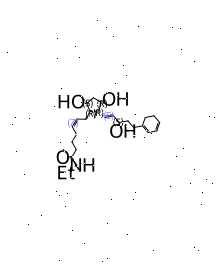 CCNC(=O)CCC/C=C\C[C@@H]1[C@@H](/C=C/[C@@H](O)CCC2=CC=CCC2)[C@H](O)C[C@@H]1O